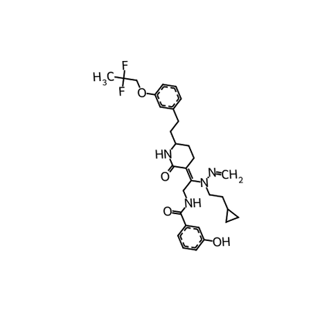 C=NN(CCC1CC1)/C(CNC(=O)c1cccc(O)c1)=C1\CCC(CCc2cccc(OCC(C)(F)F)c2)NC1=O